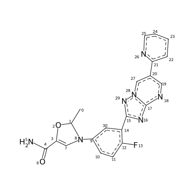 CC1OC(C(N)=O)=CN1c1ccc(F)c(-c2nc3ncc(-c4ccccn4)cn3n2)c1